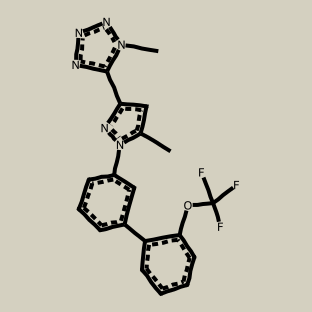 Cc1cc(-c2nnnn2C)nn1-c1cccc(-c2ccccc2OC(F)(F)F)c1